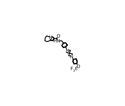 O=C(NCc1ccc(N2CC3(C2)CN(c2ccc(OC(F)(F)F)cc2)C3)cc1)c1cc2n(c1)CCCC2